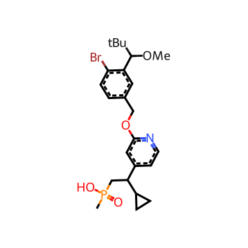 COC(c1cc(COc2cc(C(CP(C)(=O)O)C3CC3)ccn2)ccc1Br)C(C)(C)C